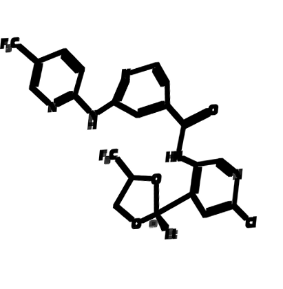 CC[C@@]1(c2cc(Cl)ncc2NC(=O)c2ccnc(Nc3ccc(C(F)(F)F)cn3)c2)OCC(C(F)(F)F)O1